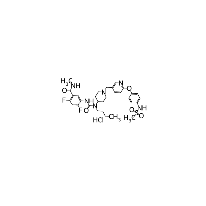 CCCCN(C(=O)Nc1cc(C(=O)NC)c(F)cc1F)C1CCN(Cc2ccc(Oc3ccc(NS(C)(=O)=O)cc3)nc2)CC1.Cl